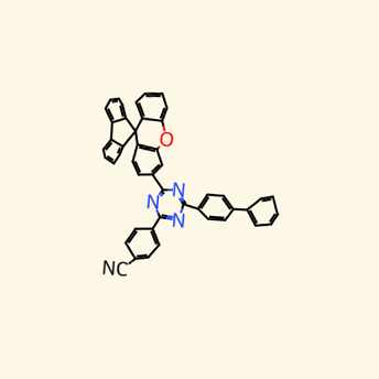 N#Cc1ccc(-c2nc(-c3ccc(-c4ccccc4)cc3)nc(-c3ccc4c(c3)Oc3ccccc3C43c4ccccc4-c4ccccc43)n2)cc1